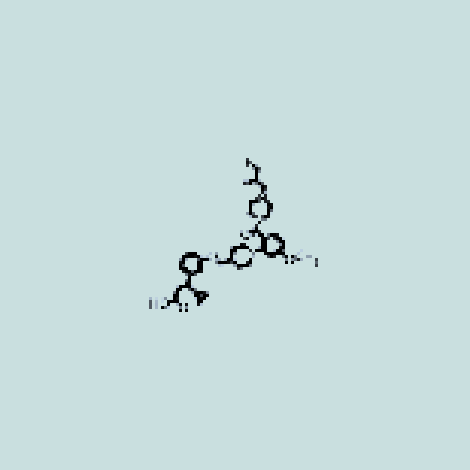 COc1ccc(C(=O)N2CCN(CC(F)CF)CC2)c(N2CCC(COc3cccc(C(CC(=O)O)C4CC4)c3)CC2)c1